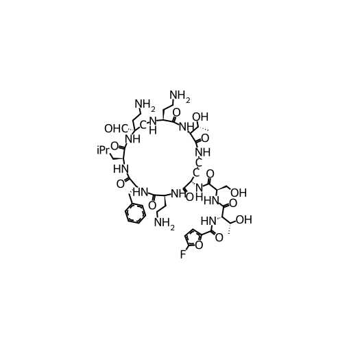 CC(C)C[C@@H]1NC(=O)[C@@H](Cc2ccccc2)NC(=O)[C@H](CCN)NC(=O)[C@@H](NC(=O)[C@@H](CO)NC(=O)[C@@H](NC(=O)c2ccc(F)o2)[C@@H](C)O)CCNC(=O)[C@H]([C@@H](C)O)NC(=O)[C@H](CCN)NC[C@](C=O)(CCN)NC1=O